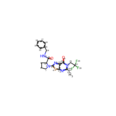 Cc1nc2sc(N3CCCC3C(=O)NCc3ccccc3)nc2c(=O)n1CC(F)(F)F